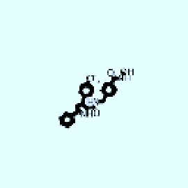 O=C(NO)c1ccc(CNC(=O)c2[nH]c(-c3ccccc3)cc2-c2ccc(C(F)(F)F)cc2)cc1